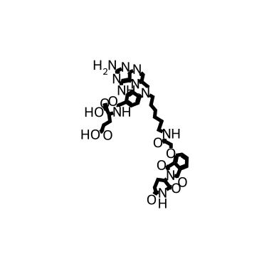 Nc1nc(N)c2nc(CN(CCCCCCNC(=O)COc3cccc4c3C(=O)N(C3CCC(=O)NC3=O)C4=O)c3ccc(C(=O)NC(CCC(=O)O)C(=O)O)cc3)cnc2n1